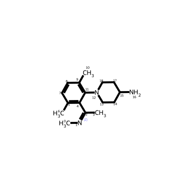 C/N=C(/C)c1c(C)ccc(C)c1N1CCC(N)CC1